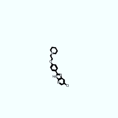 Clc1cnc2[nH]c(-c3ccc(OCCN4CCCCC4)cc3)nc2c1